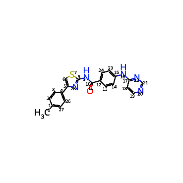 Cc1ccc(-c2csc(NC(=O)c3ccc(Nc4ccncn4)cc3)n2)cc1